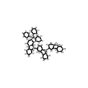 c1ccc(C(c2ccccc2)(c2ccccc2)c2ccc3c4ccccc4n(-c4ccc5c(c4)c4ccccc4n5-c4ccc5oc6ccccc6c5c4)c3c2)cc1